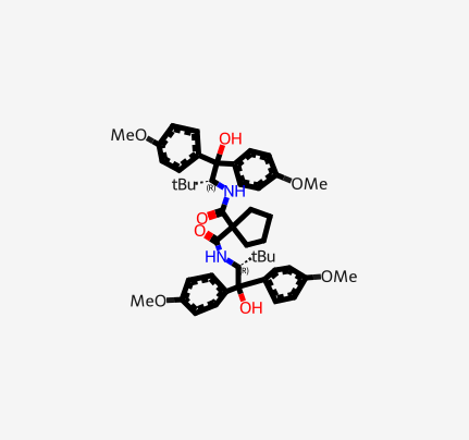 COc1ccc(C(O)(c2ccc(OC)cc2)[C@H](NC(=O)C2(C(=O)N[C@H](C(C)(C)C)C(O)(c3ccc(OC)cc3)c3ccc(OC)cc3)CCCC2)C(C)(C)C)cc1